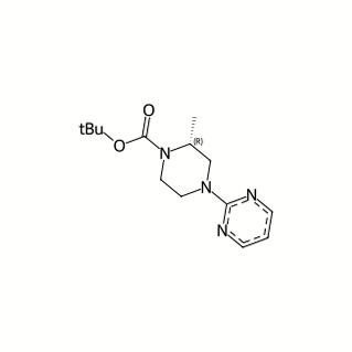 C[C@@H]1CN(c2ncccn2)CCN1C(=O)OC(C)(C)C